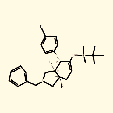 CC(C)(C)[Si](C)(C)OC1=CC[C@H]2CN(Cc3ccccc3)C[C@H]2[C@@H]1c1ccc(F)cc1